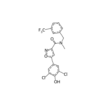 CN(Cc1cccc(C(F)(F)F)c1)C(=O)c1cc(-c2cc(Cl)c(O)c(Cl)c2)on1